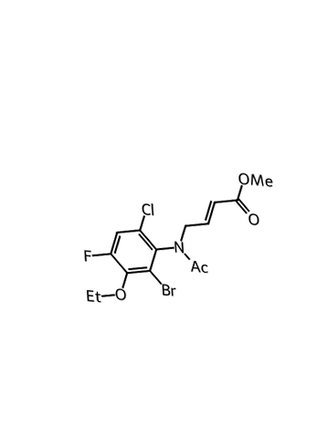 CCOc1c(F)cc(Cl)c(N(CC=CC(=O)OC)C(C)=O)c1Br